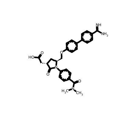 CN(C)C(=O)c1ccc(N2C(=O)[C@H](CC(=O)O)C[C@H]2COc2ccc(-c3ccc(C(=N)N)cc3)cc2)cc1